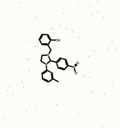 Cc1cccc(N2CCN(Cc3ccccc3O)C2c2ccc([N+](=O)[O-])cc2)c1